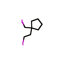 ICCC1(CI)CCCC1